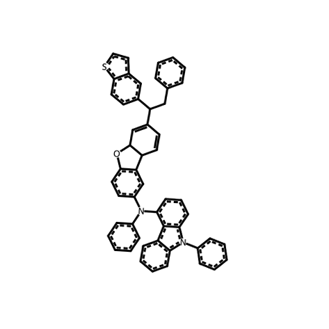 C1=CC2c3cc(N(c4ccccc4)c4cccc5c4c4ccccc4n5-c4ccccc4)ccc3OC2C=C1C(Cc1ccccc1)c1ccc2sccc2c1